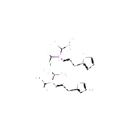 CC(C)P(C=CCc1cccs1)C(C)C.CC(C)P(C=CCc1cccs1)C(C)C.[Cl-].[Cl-].[Ni+2]